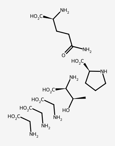 C[C@@H](O)[C@H](N)C(=O)O.NC(=O)CC[C@H](N)C(=O)O.NCC(=O)O.NCC(=O)O.NCC(=O)O.O=C(O)[C@@H]1CCCN1